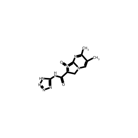 CC1=CN2CC(C(=O)Nc3nnn[nH]3)=S(=O)=C2N=C1C